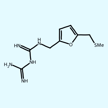 CSCc1ccc(CNC(=N)NC(=N)N)o1